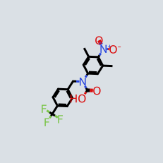 Cc1cc(N(Cc2ccc(C(F)(F)F)cc2)C(=O)O)cc(C)c1[N+](=O)[O-]